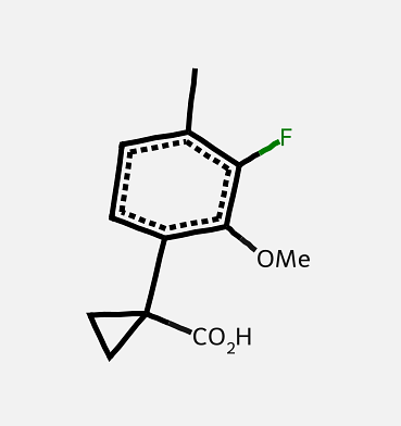 COc1c(C2(C(=O)O)CC2)ccc(C)c1F